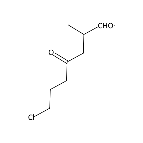 CC([C]=O)CC(=O)CCCCl